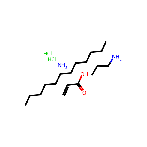 C=CC(=O)O.CCCCCCCCCCCC.CCCN.Cl.Cl.N